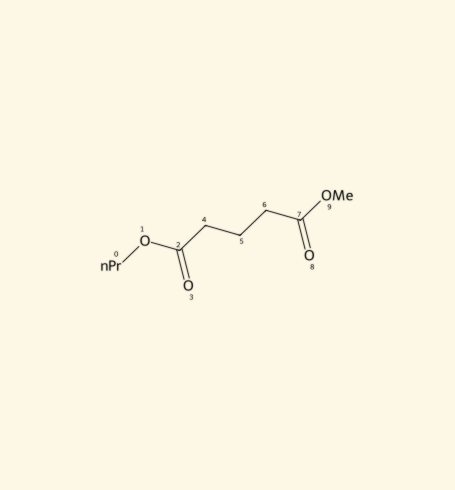 CCCOC(=O)CCCC(=O)OC